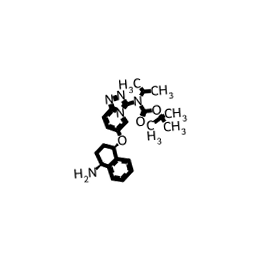 CC(C)N(C(=O)OC(C)(C)C)c1nnc2ccc(O[C@@H]3CC[C@H](N)c4ccccc43)cn12